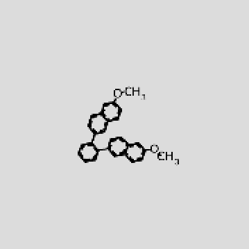 COc1ccc2cc(-c3ccccc3-c3ccc4cc(OC)ccc4c3)ccc2c1